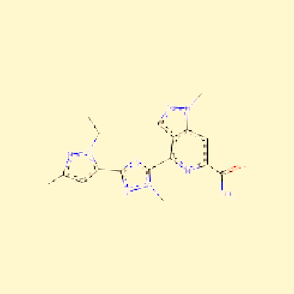 CCn1nc(C)cc1-c1nc(-c2nc(C(N)=O)cc3c2cnn3C)n(C)n1